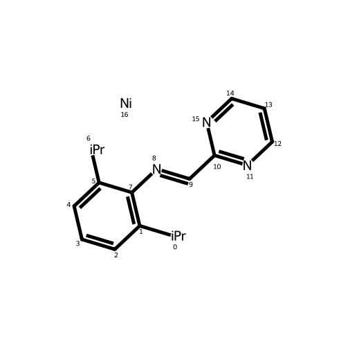 CC(C)c1cccc(C(C)C)c1N=Cc1ncccn1.[Ni]